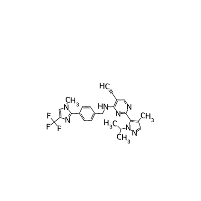 C#Cc1cnc(-c2c(C)cnn2C(C)C)nc1NCc1ccc(-c2nc(C(F)(F)F)cn2C)cc1